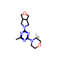 Cc1nc(N2CC3COCC3C2)nc(N2CCOC[C@H]2C)n1